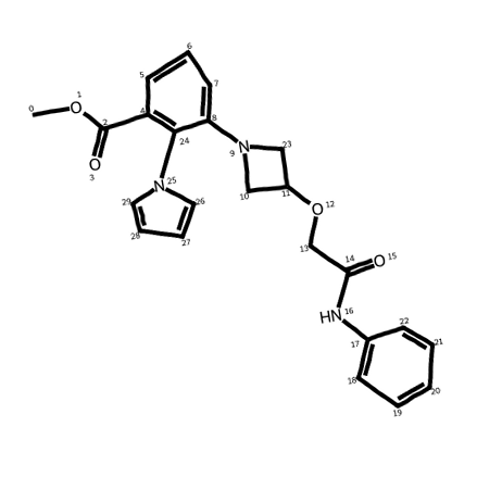 COC(=O)c1cccc(N2CC(OCC(=O)Nc3ccccc3)C2)c1-n1cccc1